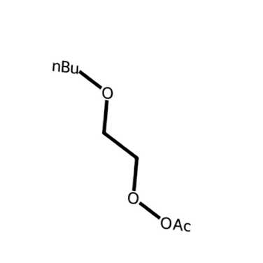 CCCCOCCOOC(C)=O